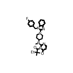 CCC(C)(C)C(=O)n1c(N(C)C2CCN(c3nc4ccccc4n3Cc3ccc(F)cc3)CC2)nccc1=O